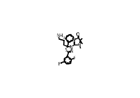 CN1C(N2N=C(c3cc(F)ccc3F)SC2(CCCN)c2ccccc2)=NC(=O)C1(C)C